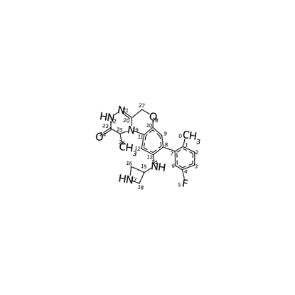 Cc1ccc(F)cc1-c1cc2c(cc1NC1CNC1)N1C(=NNC(=O)C1C)CO2